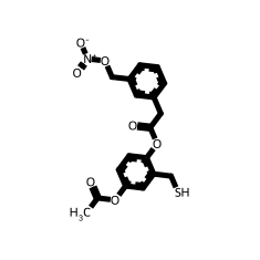 CC(=O)Oc1ccc(OC(=O)Cc2cccc(CO[N+](=O)[O-])c2)c(CS)c1